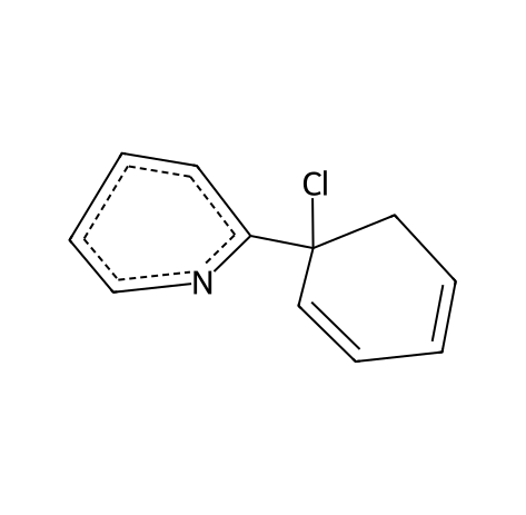 ClC1(c2ccccn2)C=CC=CC1